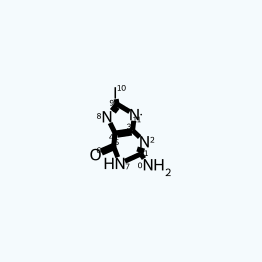 Nc1nc2c(c(=O)[nH]1)N=C(I)[N]2